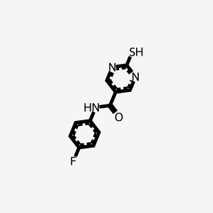 O=C(Nc1ccc(F)cc1)c1cnc(S)nc1